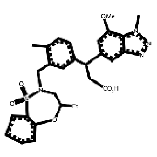 CCC1CN(Cc2cc(C(CC(=O)O)c3cc(OC)c4c(c3)nnn4C)ccc2C)S(=O)(=O)c2ccccc2O1